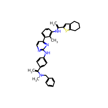 C=C(Nc1cccc(-c2ccnc(Nc3ccc(C(=C)N(C)Cc4ccccc4)cc3)n2)c1C)c1cc2c(s1)CCCC2